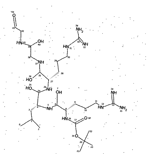 CC(C)C[C@@H](NC(O)[C@H](CCCNC(=N)N)NC(=O)OC(C)(C)C)C(O)N[C@@H](CCCNC(=N)N)C(O)NCC(O)NCC=O